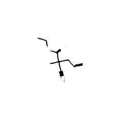 C=CCC(C)(C#N)C(=O)OCC